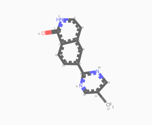 O=c1[nH]ccc2cc(-c3ncc(C(F)(F)F)cn3)ccc12